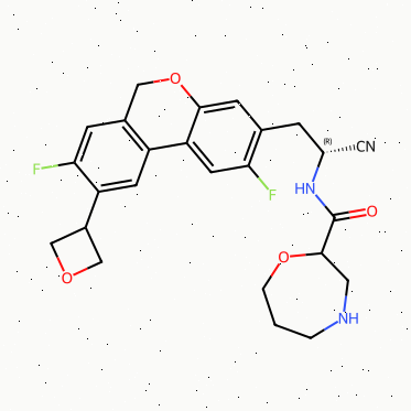 N#C[C@@H](Cc1cc2c(cc1F)-c1cc(C3COC3)c(F)cc1CO2)NC(=O)C1CNCCCO1